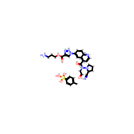 Cc1ccc(S(=O)(=O)O)cc1.N#CC1CCCN1N(CC=O)C(=O)c1ccnc2ccc(-n3cc(C(=O)OCCCN)nn3)cc12